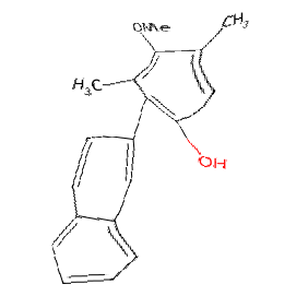 COc1c(C)cc(O)c(-c2ccc3ccccc3c2)c1C